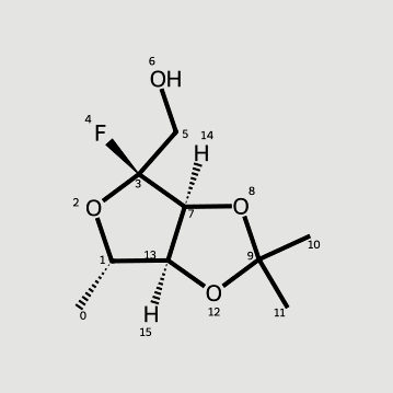 C[C@@H]1O[C@](F)(CO)[C@H]2OC(C)(C)O[C@@H]12